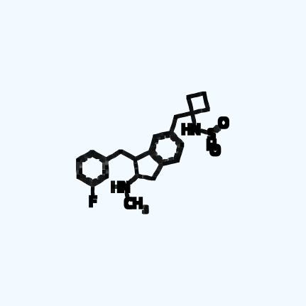 CNC1Cc2ccc(CC3(N[SH](=O)=O)CCC3)cc2C1Cc1cccc(F)c1